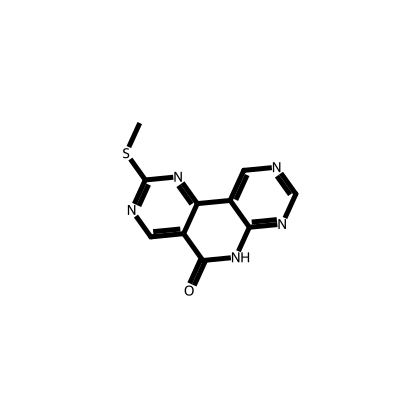 CSc1ncc2c(=O)[nH]c3ncncc3c2n1